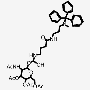 CC(=O)NC1C(OC(O)NCCCC(=O)NCCCN(C)C(c2ccccc2)(c2ccccc2)c2ccccc2)OC(COC(C)=O)C(OC(C)=O)C1OC(C)=O